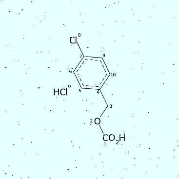 Cl.O=C(O)OCc1ccc(Cl)cc1